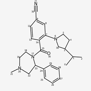 CC(C)C1CCN(c2cc(C#N)ccc2C(=O)N2CCN(C)CC2c2ccccc2)C1